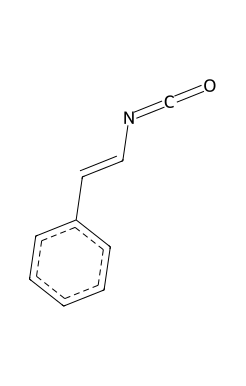 O=C=NC=Cc1ccccc1